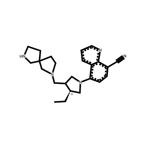 CC[C@@H]1CN(c2ccc(C#N)c3ncccc23)CC1CN1CCC2(CCNC2)C1